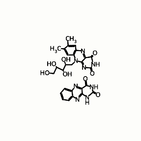 Cc1cc2nc3c(=O)[nH]c(=O)nc-3n(C[C@H](O)[C@H](O)[C@H](O)CO)c2cc1C.O=c1[nH]c(=O)c2nc3ccccc3nc2[nH]1